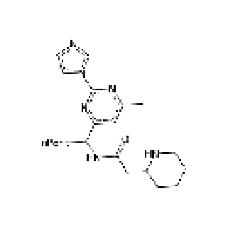 CCCCCC(NC(=O)CC1CCCCN1)c1cc(C)nc(-n2ccnc2)n1